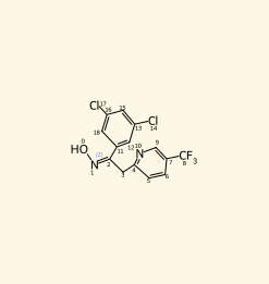 O/N=C(/Cc1ccc(C(F)(F)F)cn1)c1cc(Cl)cc(Cl)c1